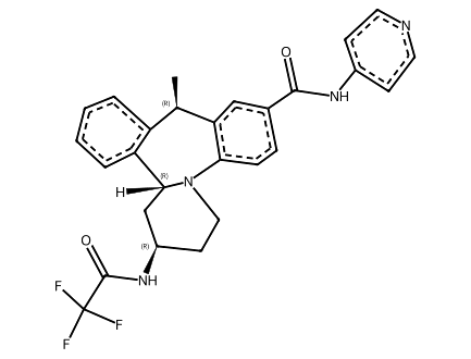 C[C@@H]1c2ccccc2[C@H]2C[C@H](NC(=O)C(F)(F)F)CCN2c2ccc(C(=O)Nc3ccncc3)cc21